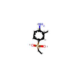 [CH2]CS(=O)(=O)c1ccc(N)c(C)c1